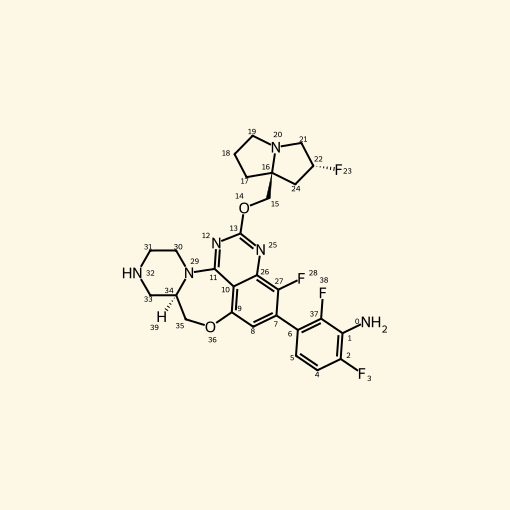 Nc1c(F)ccc(-c2cc3c4c(nc(OC[C@@]56CCCN5C[C@H](F)C6)nc4c2F)N2CCNC[C@@H]2CO3)c1F